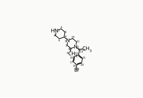 C[C@H]1CN(C2CCNCC2)CCN1[C@@H](C)c1ccc(Br)cc1